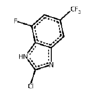 Fc1cc(C(F)(F)F)cc2nc(Cl)[nH]c12